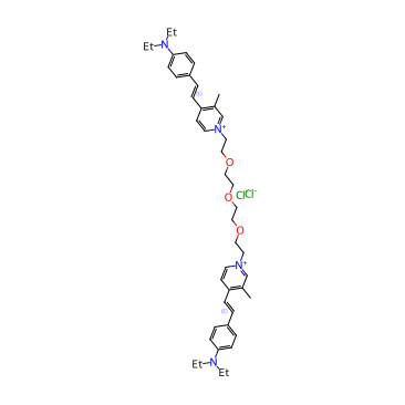 CCN(CC)c1ccc(/C=C/c2cc[n+](CCOCCOCCOCC[n+]3ccc(/C=C/c4ccc(N(CC)CC)cc4)c(C)c3)cc2C)cc1.[Cl-].[Cl-]